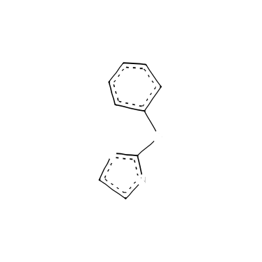 c1ccc(Oc2nccs2)cc1